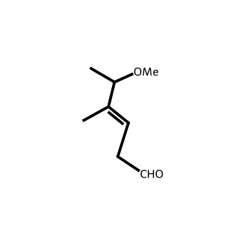 COC(C)C(C)=CCC=O